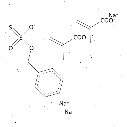 C=C(C)C(=O)[O-].C=C(C)C(=O)[O-].O=S([O-])(=S)OCc1ccccc1.[Na+].[Na+].[Na+]